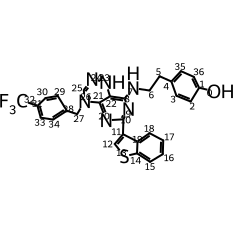 Oc1ccc(CCNc2nc(-c3csc4ccccc34)nc3c2NN=CN3Cc2ccc(C(F)(F)F)cc2)cc1